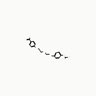 N=C(N)Nc1ccc(OCCOCCOc2ccc(C(=N)N)cc2)cc1